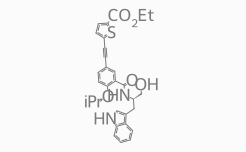 CCOC(=O)c1ccc(C#Cc2ccc(OC(C)C)c(C(=O)N[C@@H](CO)Cc3c[nH]c4ccccc34)c2)s1